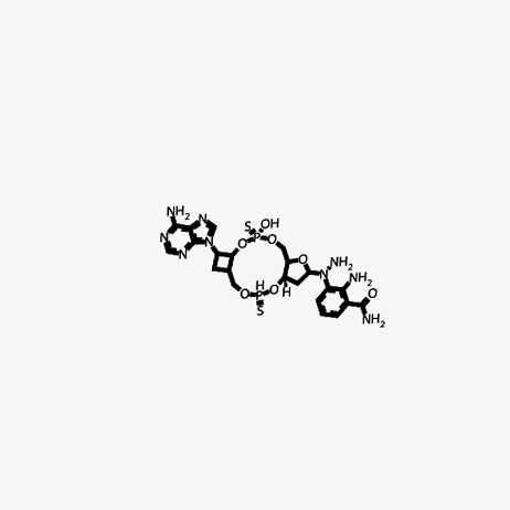 NC(=O)c1cccc(N(N)C2C[C@@H]3O[PH](=S)OCC4CC(n5cnc6c(N)ncnc65)C4OP(O)(=S)OCC3O2)c1N